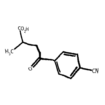 CC(CC(=O)c1ccc(C#N)cc1)C(=O)O